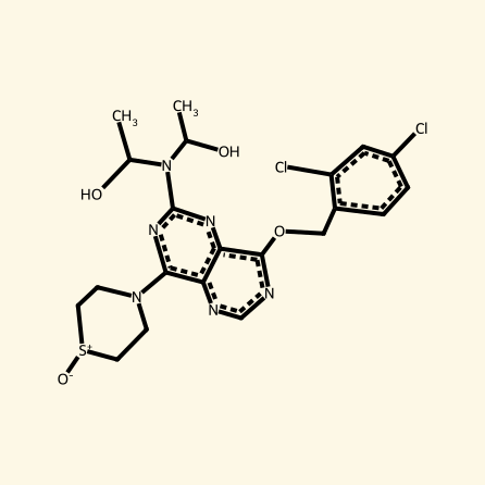 CC(O)N(c1nc(N2CC[S+]([O-])CC2)c2ncnc(OCc3ccc(Cl)cc3Cl)c2n1)C(C)O